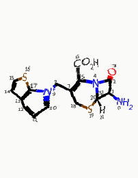 NC1C(=O)N2C(C(=O)O)=C(C[n+]3cccc4ccsc43)CS[C@@H]12